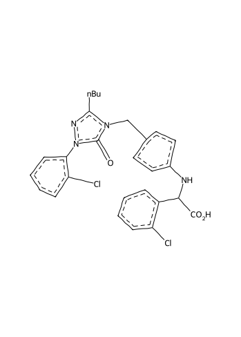 CCCCc1nn(-c2ccccc2Cl)c(=O)n1Cc1ccc(NC(C(=O)O)c2ccccc2Cl)cc1